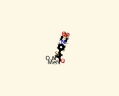 CNC(=O)c1cc(-c2ccc(N3CCS(=O)(=O)CC3)cc2)sc1[N+](=O)[O-]